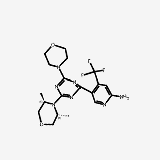 C[C@@H]1COC[C@@H](C)N1c1nc(-c2cnc(N)cc2C(F)(F)F)nc(N2CCOCC2)n1